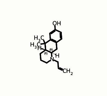 C=CCN1CCC[C@H]2[C@H]1Cc1ccc(O)cc1C2(C)C